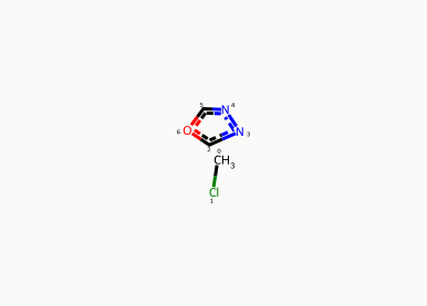 CCl.c1nnco1